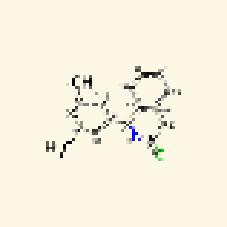 Cc1cc(C)cc(-c2nc(Cl)cc3ccccc23)c1